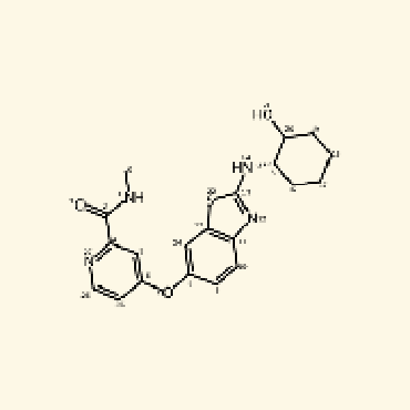 CNC(=O)c1cc(Oc2ccc3nc(N[C@H]4CCCCC4O)sc3c2)ccn1